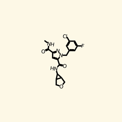 CNC(=O)c1cc(C(=O)NC2C3COCC32)n(Cc2cc(F)cc(Cl)c2)n1